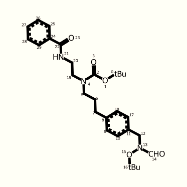 CC(C)(C)OC(=O)N(CCCc1ccc(CN(C=O)OC(C)(C)C)cc1)CCNC(=O)c1ccccc1